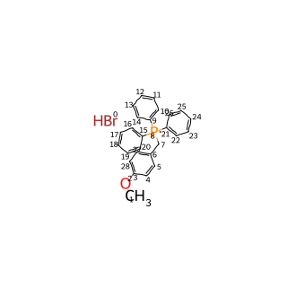 Br.COc1ccc(C[P](c2ccccc2)(c2ccccc2)c2ccccc2)cc1